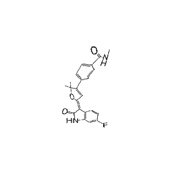 CNC(=O)c1ccc(C2=CC(=C3C(=O)Nc4cc(F)ccc43)OC2(C)C)cc1